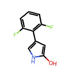 Oc1cc(-c2c(F)cccc2F)c[nH]1